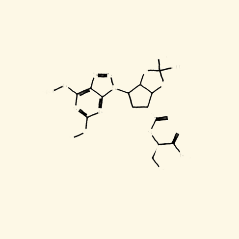 CCCCNc1nc(SCCC)nc2c1nnn2C1C[C@@H](C(=O)N[C@H](CO)C(N)=O)C2OC(C)(C)OC21